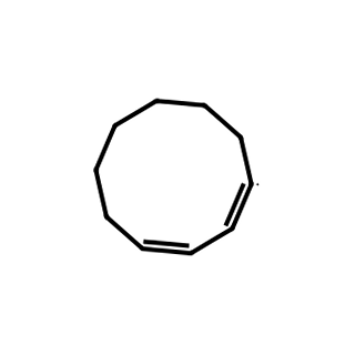 [C]1=CC=CCCCCCC1